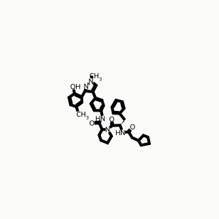 Cc1ccc(O)c(-c2nn(C)cc2-c2ccc(NC(=O)C3CCCCN3C(=O)[C@H](Cc3ccccc3)NC(=O)CC3CCCC3)cc2)c1